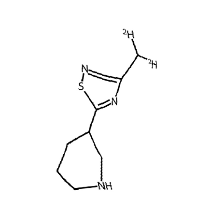 [2H]C([2H])c1nsc(C2CCCNC2)n1